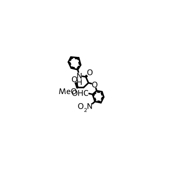 COC(=O)CC(Oc1cccc([N+](=O)[O-])c1C=O)C(=O)Nc1ccccc1